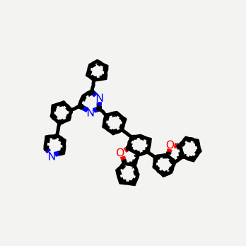 c1ccc(-c2cc(-c3cccc(-c4ccncc4)c3)nc(-c3ccc(-c4ccc(-c5cccc6c5oc5ccccc56)c5c4oc4ccccc45)cc3)n2)cc1